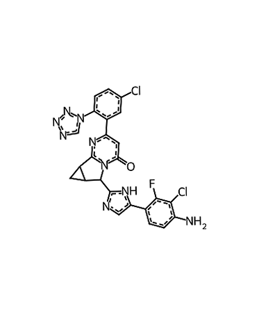 Nc1ccc(-c2cnc(C3C4CC4c4nc(-c5cc(Cl)ccc5-n5cnnn5)cc(=O)n43)[nH]2)c(F)c1Cl